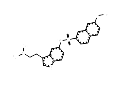 COc1ccc2ccc(S(=O)(=O)Nc3ccc4[nH]cc(CCN(C)C)c4c3)cc2c1